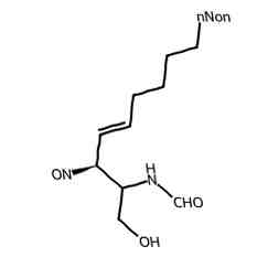 CCCCCCCCCCCCC/C=C/[C@H](N=O)C(CO)NC=O